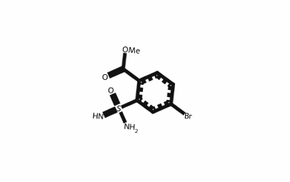 COC(=O)c1ccc(Br)cc1S(=N)(N)=O